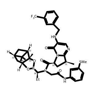 CC[C@@H](B1O[C@@H]2C[C@@H]3C[C@@H](C3(C)C)[C@]2(C)O1)N(CC(=O)Nc1cccc(SC)c1)C(=O)[C@@H]1C[C@H](C)c2ncc(NCc3cccc(C(F)(F)F)c3)c(=O)n21